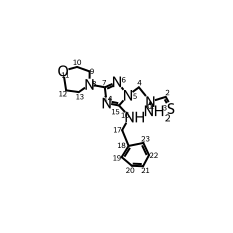 NN(C=S)Cn1nc(N2CCOCC2)nc1NCc1ccccc1